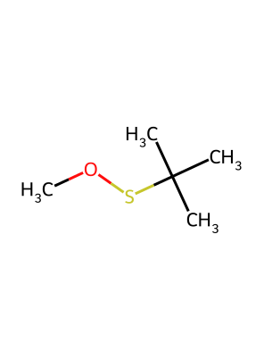 COSC(C)(C)C